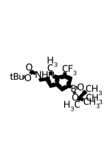 Cn1c(CNC(=O)OC(C)(C)C)cc2cc(B3OC(C)(C)C(C)(C)O3)cc(C(F)(F)F)c21